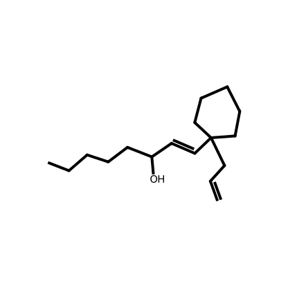 C=CCC1(C=CC(O)CCCCC)CCCCC1